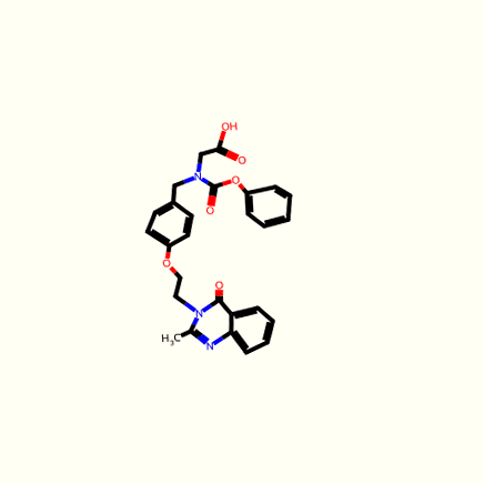 Cc1nc2ccccc2c(=O)n1CCOc1ccc(CN(CC(=O)O)C(=O)Oc2ccccc2)cc1